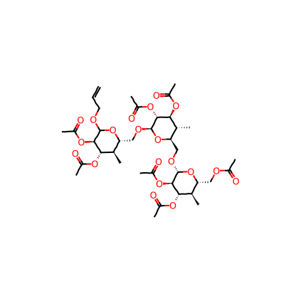 C=CCOC1O[C@H](CO[C@@H]2O[C@H](CO[C@@H]3O[C@H](COC(C)=O)[C@@H](C)[C@H](OC(C)=O)[C@H]3OC(C)=O)[C@@H](C)[C@H](OC(C)=O)[C@H]2OC(C)=O)[C@@H](C)[C@H](OC(C)=O)[C@H]1OC(C)=O